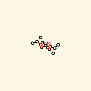 C[Si](C)(C)C1([Si](C)(C)C)c2cc3cc(N(c4ccccc4)c4ccc(-c5ccccc5)cc4-c4ccccc4)ccc3cc2-c2c1c1ccc(N(c3ccccc3)c3ccc(-c4ccccc4)cc3-c3ccccc3)cc1c1ccccc21